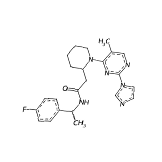 Cc1cnc(-n2ccnc2)nc1N1CCCCC1CC(=O)NC(C)c1ccc(F)cc1